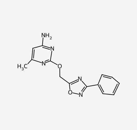 Cc1cc(N)nc(OCc2nc(-c3ccccc3)no2)n1